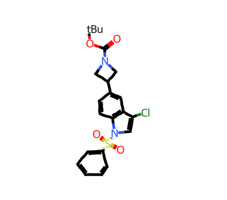 CC(C)(C)OC(=O)N1CC(c2ccc3c(c2)c(Cl)cn3S(=O)(=O)c2ccccc2)C1